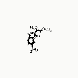 COCC(C)n1cnc2ccc([N+](=O)[O-])cc2c1=O